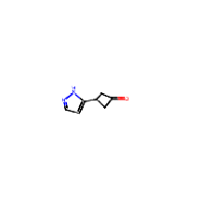 O=C1CC(c2ccn[nH]2)C1